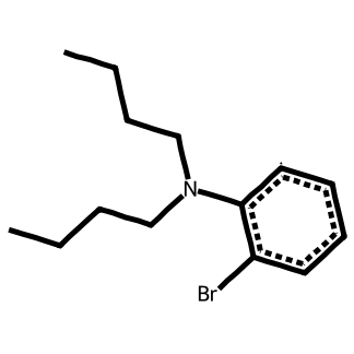 CCCCN(CCCC)c1[c]cccc1Br